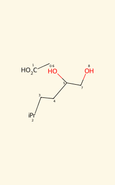 CC(=O)O.CC(C)CCC(O)CO